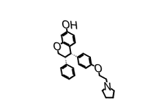 Oc1ccc2c(c1)OC[C@@H](c1ccccc1)[C@H]2c1ccc(OCCN2CCCC2)cc1